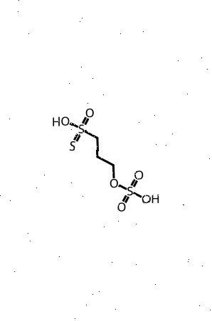 O=S(=O)(O)OCCCS(=O)(O)=S